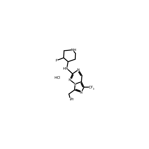 CC(C)Cc1nc(C(F)(F)F)c2cnc(NC3CCNCC3F)nn12.Cl